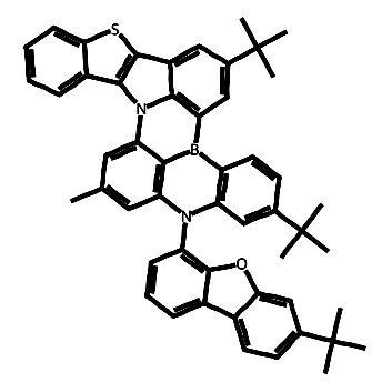 Cc1cc2c3c(c1)-n1c4c(cc(C(C)(C)C)cc4c4sc5ccccc5c41)B3c1ccc(C(C)(C)C)cc1N2c1cccc2c1oc1cc(C(C)(C)C)ccc12